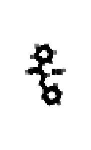 Cl.O=C(OCc1ccccc1)c1ccccn1